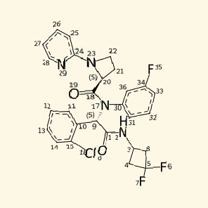 O=C(NC1CC(F)(F)C1)[C@H](c1ccccc1Cl)N(C(=O)[C@@H]1CCN1c1ccccn1)c1cccc(F)c1